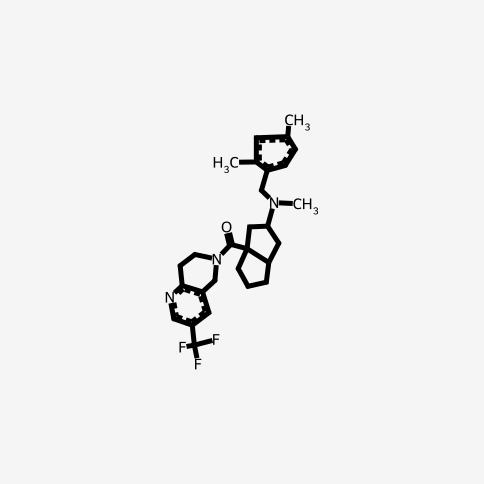 Cc1ccc(CN(C)C2CC3CCCC3(C(=O)N3CCc4ncc(C(F)(F)F)cc4C3)C2)c(C)c1